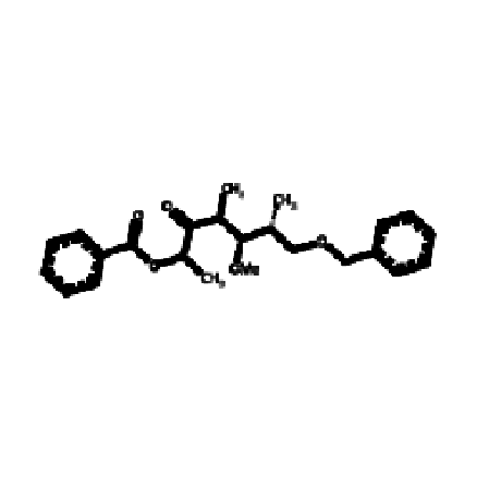 CO[C@@H](C(C)C(=O)C(C)OC(=O)c1ccccc1)[C@H](C)COCc1ccccc1